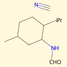 C#N.CC1CCC(C(C)C)C(NC=O)C1